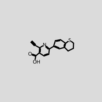 C#Cc1nc(-c2ccc3c(c2)CCCS3)ccc1C(=O)O